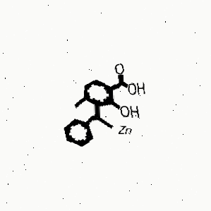 Cc1ccc(C(=O)O)c(O)c1C(C)c1ccccc1.[Zn]